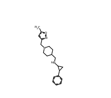 Cc1cc(CN2CCC(CNC3CC3c3ccccc3)CC2)no1